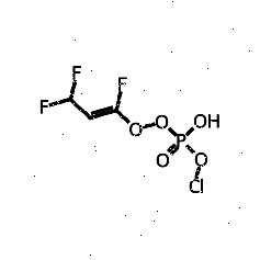 O=P(O)(OCl)OOC(F)=CC(F)F